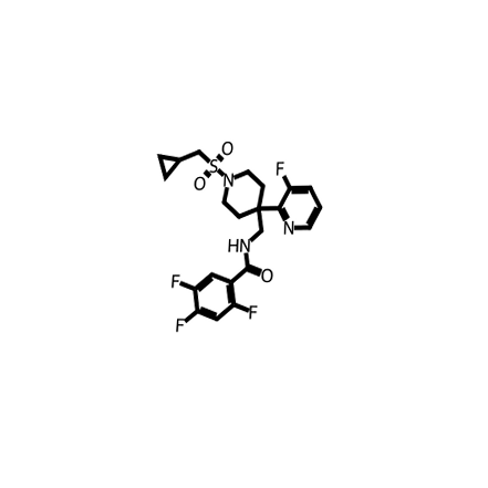 O=C(NCC1(c2ncccc2F)CCN(S(=O)(=O)CC2CC2)CC1)c1cc(F)c(F)cc1F